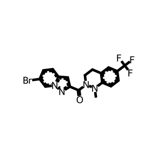 CN1c2ccc(C(F)(F)F)cc2CCN1C(=O)c1cc2ccc(Br)cn2n1